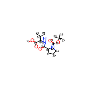 COC(=O)[C@H](NC(=O)C1CCCN1C(=O)OC(C)(C)C)C(C)C